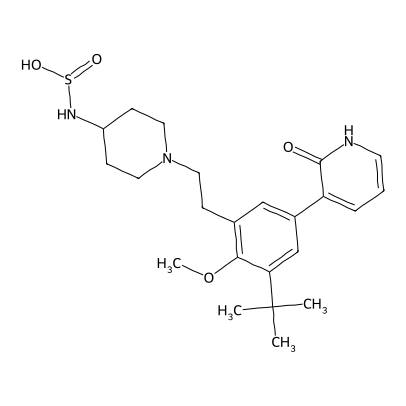 COc1c(CCN2CCC(NS(=O)O)CC2)cc(-c2ccc[nH]c2=O)cc1C(C)(C)C